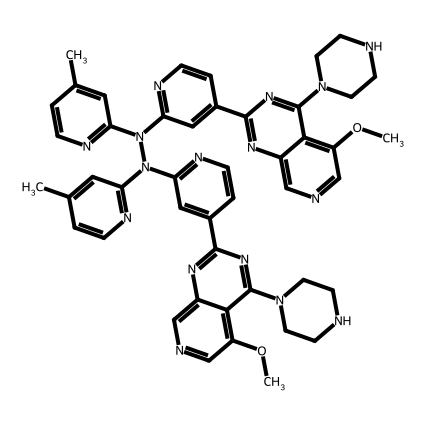 COc1cncc2nc(-c3ccnc(N(c4cc(C)ccn4)N(c4cc(C)ccn4)c4cc(-c5nc(N6CCNCC6)c6c(OC)cncc6n5)ccn4)c3)nc(N3CCNCC3)c12